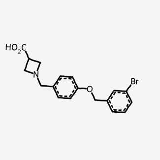 O=C(O)C1CN(Cc2ccc(OCc3cccc(Br)c3)cc2)C1